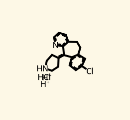 Cl.Clc1ccc2c(c1)CCc1cccnc1C2=C1CCNCC1.[H+].[H+]